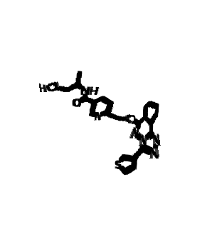 CC(CO)NC(=O)c1ccc(COc2nn3c(-c4ccsc4)nnc3c3ccccc23)nc1